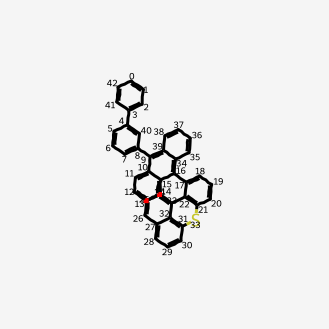 c1ccc(-c2cccc(-c3c4ccccc4c(-c4cccc5c4-c4cccc6cccc(c46)S5)c4ccccc34)c2)cc1